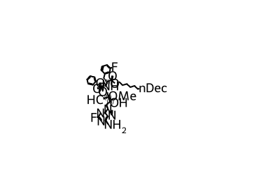 C#C[C@](COP(=O)(N[C@@H](Cc1c#ccc(F)c1)C(=O)OCCCCCCCCCCCCCCCC)Oc1ccccc1)(OC)[C@@H](O)Cn1cnc2c(N)nc(F)nc21